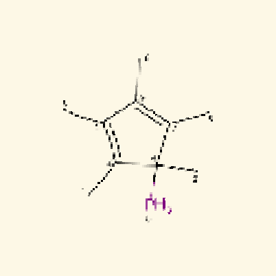 CC1=C(C)C(C)(P)C(C)=C1C